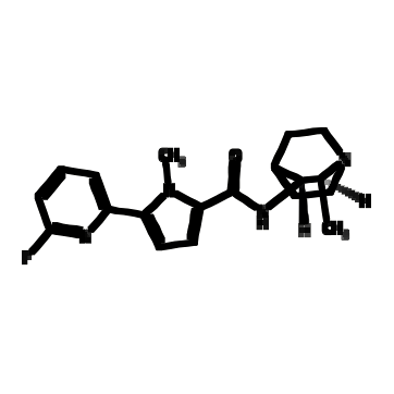 C[C@H]1[C@H](NC(=O)c2ccc(-c3cccc(F)n3)n2C)C2CCN1CC2